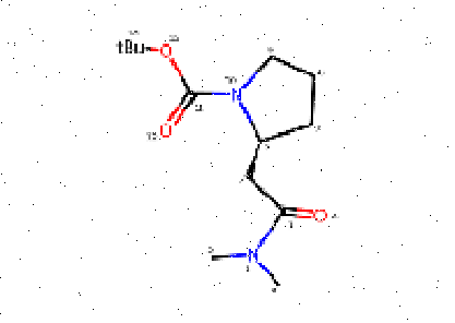 CN(C)C(=O)C[C@@H]1CCCN1C(=O)OC(C)(C)C